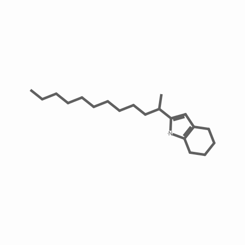 CCCCCCCCCCC(C)C1=CC2=C(CCCC2)[N]1